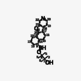 CC(C)(O)C(C)(C)OBc1cccc2c1ccc1c3ccncc3oc21